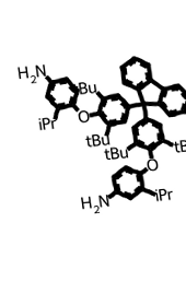 CC(C)c1cc(N)ccc1Oc1c(C(C)(C)C)cc(C2(c3cc(C(C)(C)C)c(Oc4ccc(N)cc4C(C)C)c(C(C)(C)C)c3)c3ccccc3-c3ccccc32)cc1C(C)(C)C